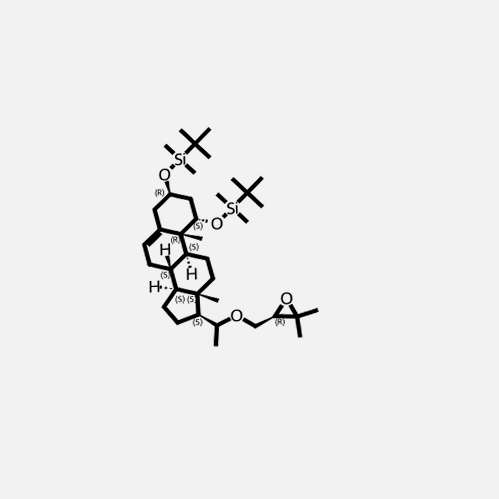 CC(OC[C@H]1OC1(C)C)[C@H]1CC[C@H]2[C@@H]3CC=C4C[C@@H](O[Si](C)(C)C(C)(C)C)C[C@H](O[Si](C)(C)C(C)(C)C)[C@]4(C)[C@H]3CC[C@]12C